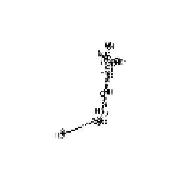 CC(=O)c1nn(CC(=O)N2C3C[C@]3(CNC(=O)COCCOCCNC(=O)COCCOCCNC(=O)CC[C@H](NC(=O)CCCCCCCCCCCCCCCCC(=O)O)C(=O)O)C[C@H]2C(=O)Nc2nc(Br)ccc2C)c2c(C)cc(-c3cnc(C)nc3)cc12